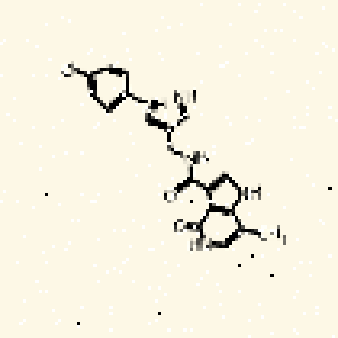 Cc1c[nH]c(=O)c2c(C(=O)NC/C(C=N)=C/Nc3ccc(Cl)cc3)c[nH]c12